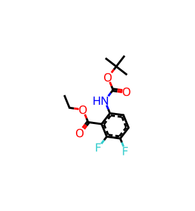 CCOC(=O)c1c(NC(=O)OC(C)(C)C)ccc(F)c1F